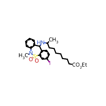 CCOC(=O)CCCCCCCC(C)NC1c2ccccc2N(C)S(=O)(=O)c2cc(I)ccc21